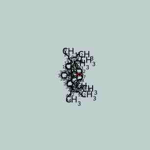 CCCC[Si](CCCC)(CCCC)c1cccc(P(c2ccccc2OC)N(C2CCCCC2)P(c2cccc([Si](CCCC)(CCCC)CCCC)c2)c2ccccc2OC)c1